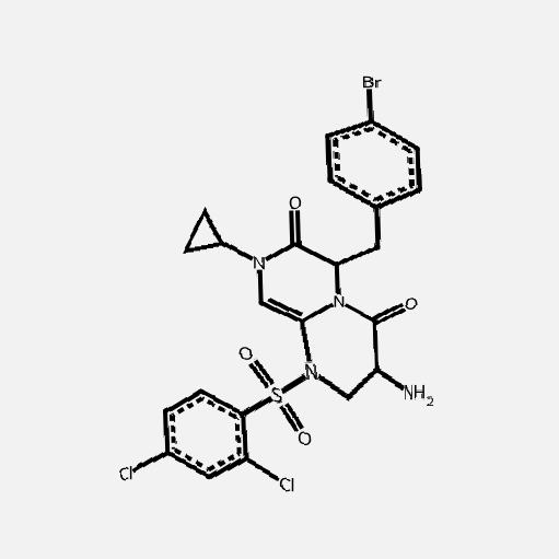 NC1CN(S(=O)(=O)c2ccc(Cl)cc2Cl)C2=CN(C3CC3)C(=O)C(Cc3ccc(Br)cc3)N2C1=O